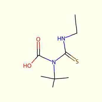 CCNC(=S)N(C(=O)O)C(C)(C)C